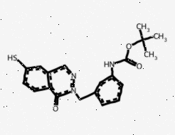 CC(C)(C)OC(=O)Nc1cccc(Cn2ncc3cc(S)ccc3c2=O)c1